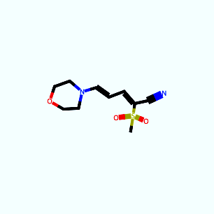 CS(=O)(=O)C(C#N)=CC=CN1CCOCC1